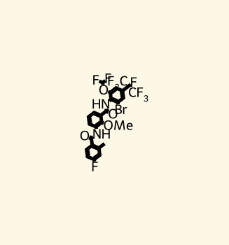 COc1c(NC(=O)c2ccc(F)cc2C)cccc1C(=O)Nc1c(Br)cc(C(F)(C(F)(F)F)C(F)(F)F)cc1OC(F)F